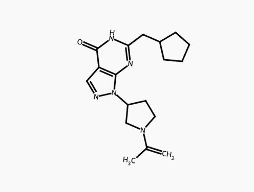 C=C(C)N1CCC(n2ncc3c(=O)[nH]c(CC4CCCC4)nc32)C1